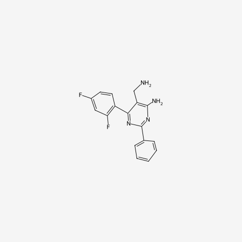 NCc1c(N)nc(-c2ccccc2)nc1-c1ccc(F)cc1F